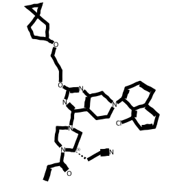 C=CC(=O)N1CCN(c2nc(OCCOC3CCC4(CC4)C3)nc3c2CCN(c2cccc4cccc(Cl)c24)C3)C[C@@H]1CC#N